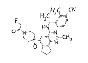 Cc1nc(N[C@H](C)c2cccc(C#N)c2C)c2cc(P3(=O)CCN(C(=O)CF)CC3)c3c(c2n1)CCC3